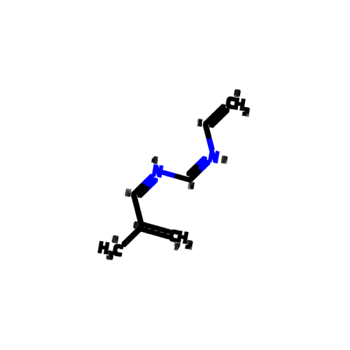 C=C/N=C\N=C/C(=C)C